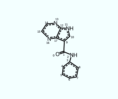 O=C(Nc1ccccc1)c1c[nH]c2nccnc12